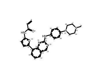 C=CC(=O)Nc1ccc(-c2cccc3cnc(Nc4ccc(N5CCN(C)CC5)cc4)nc23)s1